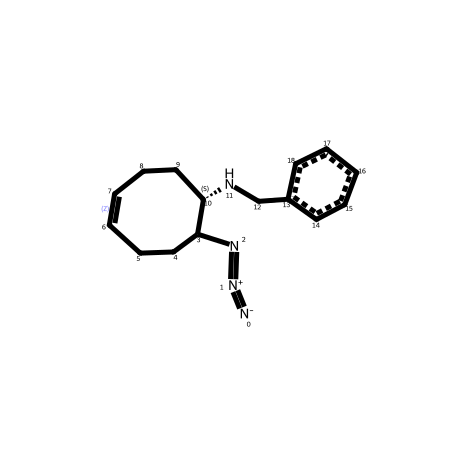 [N-]=[N+]=NC1CC/C=C\CC[C@@H]1NCc1ccccc1